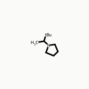 CC(N1CCCC1)C(C)(C)C